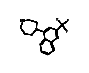 FC(F)(F)c1cc(N2CCCNCC2)c2ccccc2n1